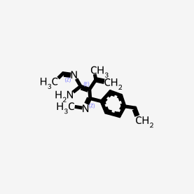 C=Cc1ccc(C(=N/C)/C(C(=C)C)=C(N)/N=C\C)cc1